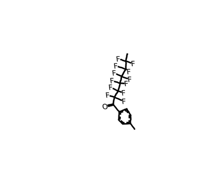 Cc1ccc(C(=O)C(F)(F)C(F)(F)C(F)(F)C(F)(F)C(F)(F)C(C)(F)F)cc1